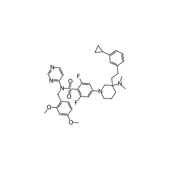 COc1ccc(CN(c2ccncn2)S(=O)(=O)c2c(F)cc(N3CCCC(CCc4cccc(C5CC5)c4)(N(C)C)C3)cc2F)c(OC)c1